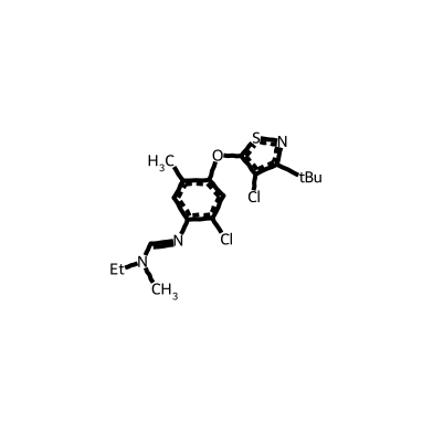 CCN(C)C=Nc1cc(C)c(Oc2snc(C(C)(C)C)c2Cl)cc1Cl